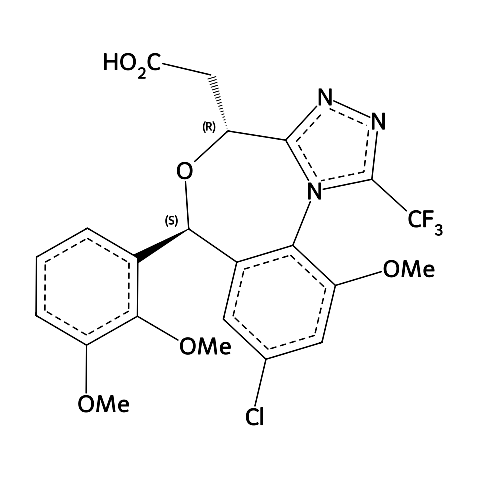 COc1cccc([C@H]2O[C@H](CC(=O)O)c3nnc(C(F)(F)F)n3-c3c(OC)cc(Cl)cc32)c1OC